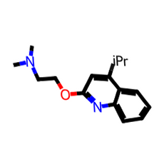 CC(C)c1cc(OCCN(C)C)nc2ccccc12